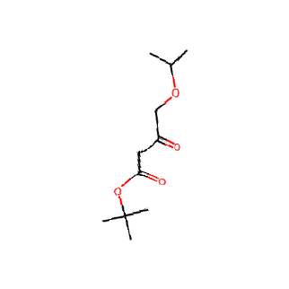 CC(C)OCC(=O)CC(=O)OC(C)(C)C